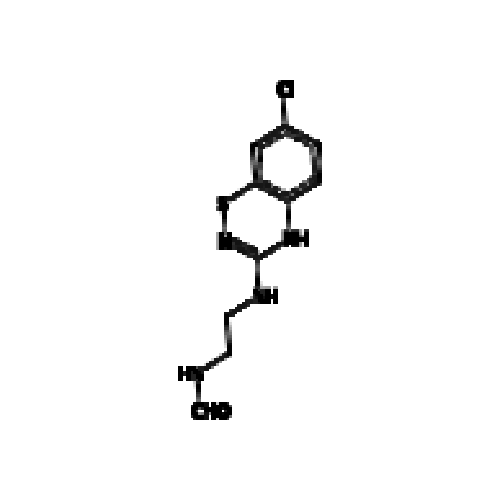 O=CNCCNC1=NSc2cc(Cl)ccc2N1